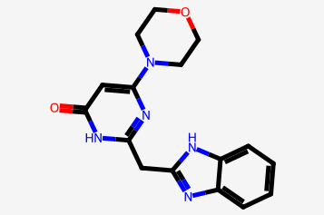 O=c1cc(N2CCOCC2)nc(Cc2nc3ccccc3[nH]2)[nH]1